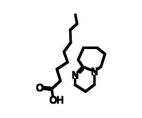 C1CCC2=NCCCN2CC1.CCCCCCCCC(=O)O